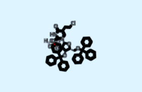 CS(=O)(=O)O[C@@H]1[C@H](OC(c2ccccc2)(c2ccccc2)c2ccccc2)[C@@H](COC(c2ccccc2)(c2ccccc2)c2ccccc2)O[C@H]1n1cc(C=CCl)c(=O)[nH]c1=O